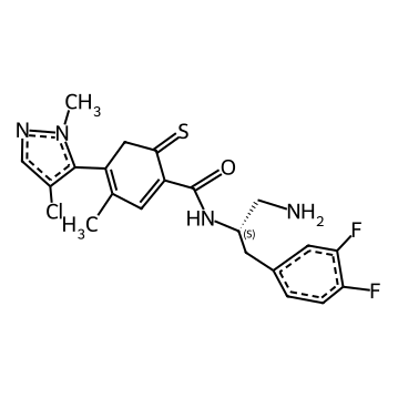 CC1=C(c2c(Cl)cnn2C)CC(=S)C(C(=O)N[C@H](CN)Cc2ccc(F)c(F)c2)=C1